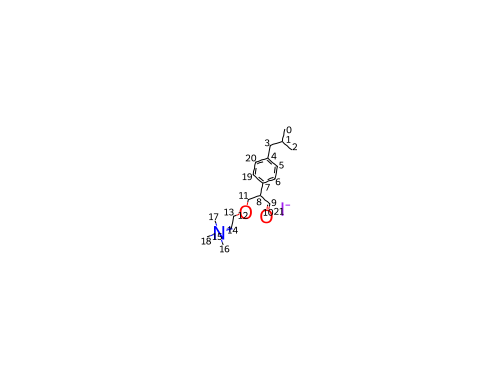 CC(C)Cc1ccc(C(C=O)COCC[N+](C)(C)C)cc1.[I-]